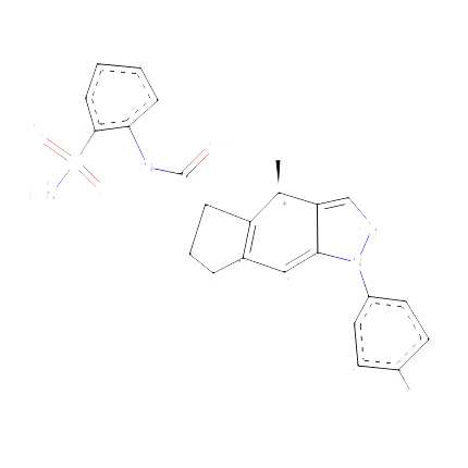 C[C@H]1C2=CNN(c3ccc(F)cc3)C2=CC2=C1[C@@H](C(=O)Nc1ccccc1S(N)(=O)=O)CC2